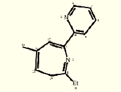 CCC1=NC(c2ccccn2)=CC(C)=CC1